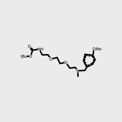 COc1ccc(CN(C)CCOCCOCCNC(=O)OC(C)(C)C)cc1